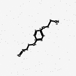 O=NCCOc1ccc(OCCO)cc1